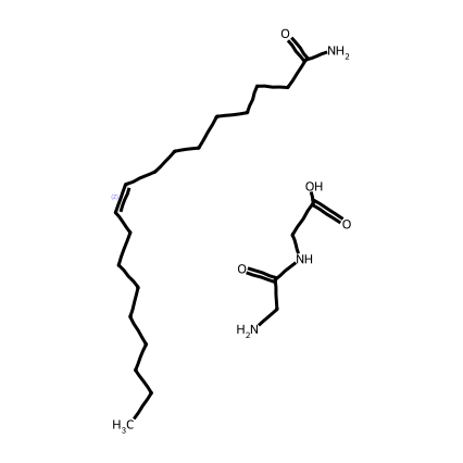 CCCCCCCC/C=C\CCCCCCCC(N)=O.NCC(=O)NCC(=O)O